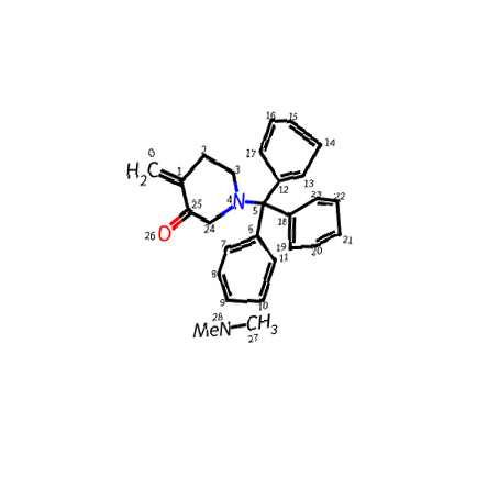 C=C1CCN(C(c2ccccc2)(c2ccccc2)c2ccccc2)CC1=O.CNC